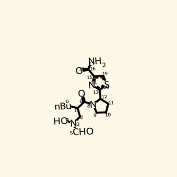 CCCCC(CN(O)C=O)C(=O)N1CCCC1c1nc(C(N)=O)cs1